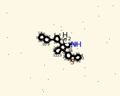 C=c1c(-c2cccc(-c3ccc4ccccc4c3)c2)c2ccccc2c(-c2ccc3sc4ccccc4c3c2)/c1=C/C=N